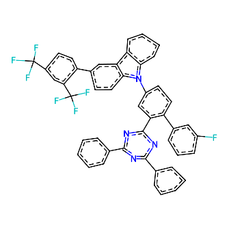 Fc1cccc(-c2ccc(-n3c4ccccc4c4cc(-c5ccc(C(F)(F)F)cc5C(F)(F)F)ccc43)cc2-c2nc(-c3ccccc3)nc(-c3ccccc3)n2)c1